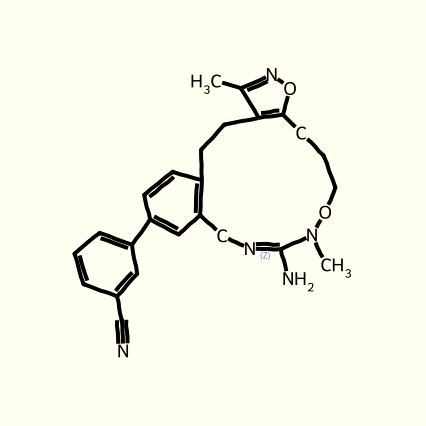 Cc1noc2c1CCc1ccc(-c3cccc(C#N)c3)cc1C/N=C(/N)N(C)OCCC2